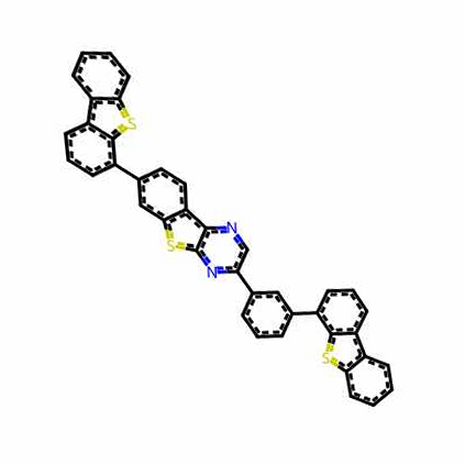 c1cc(-c2cnc3c(n2)sc2cc(-c4cccc5c4sc4ccccc45)ccc23)cc(-c2cccc3c2sc2ccccc23)c1